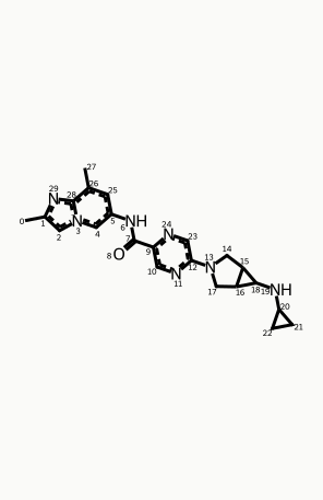 Cc1cn2cc(NC(=O)c3cnc(N4CC5C(C4)C5NC4CC4)cn3)cc(C)c2n1